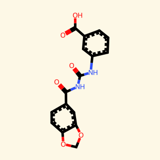 O=C(NC(=O)c1ccc2c(c1)OCO2)Nc1cccc(C(=O)O)c1